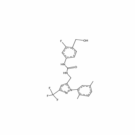 Cc1ccc(C)c(-n2nc(C(F)(F)F)cc2CNC(=O)Nc2ccc(CO)c(F)c2)c1